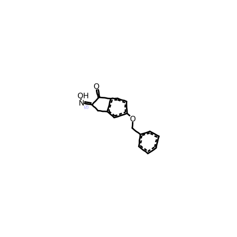 O=C1/C(=N\O)Cc2cc(OCc3ccccc3)ccc21